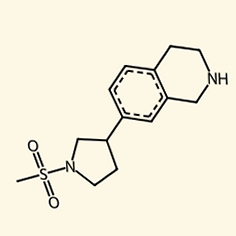 CS(=O)(=O)N1CCC(c2ccc3c(c2)CNCC3)C1